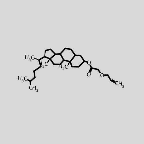 C=CCOCC(=O)OC1CC[C@@]2(C)C(CCC3C2CC[C@@]2(C)C3CC[C@@H]2[C@H](C)CCCC(C)C)C1